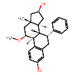 CO[C@H]1C[C@]2(C)C[C@@H](O)C[C@H]2[C@H]2[C@H]1c1ccc(O)cc1C[C@H]2c1ccccc1